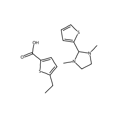 CCc1ccc(C(=O)O)s1.CN1CCN(C)C1c1cccs1